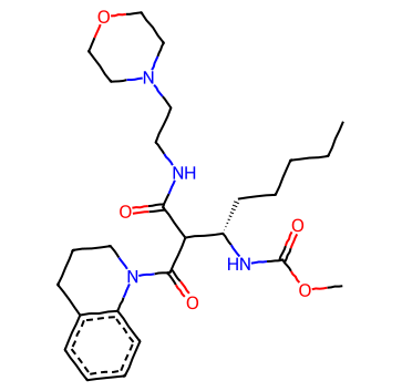 CCCCC[C@H](NC(=O)OC)C(C(=O)NCCN1CCOCC1)C(=O)N1CCCc2ccccc21